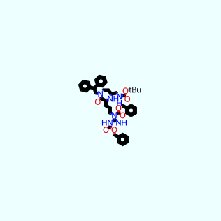 CC(C)(C)OC(=O)NCC1CCN(CC(c2ccccc2)c2ccccc2)C(=O)C(CCCN(C(=N)NC(=O)OCc2ccccc2)C(=O)OCc2ccccc2)N1